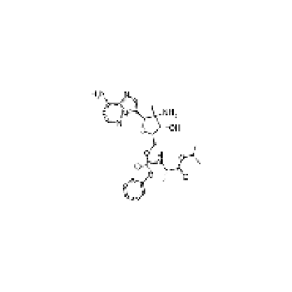 CC(C)OC(=O)[C@H](C)N[P@@](=O)(OC[C@H]1O[C@@H](c2cnc3c(N)ccnn23)[C@](C)(N)[C@@H]1O)Oc1ccccc1